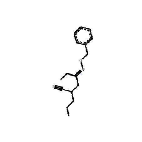 CCCC(C#N)C/C(CC)=N/OCc1ccccc1